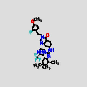 COc1ccc(CCn2cnc3cc(N/C(=N/C4CCC(C)(C)C[C@@H]4C)N4CCN[C@@H](C(F)(F)F)C4)ccc3c2=O)c(F)c1